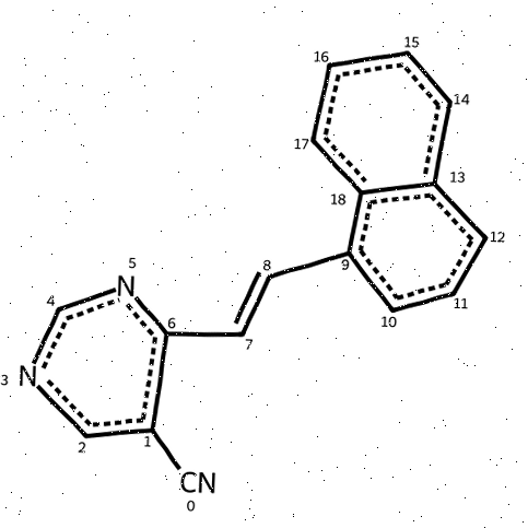 N#Cc1cncnc1/C=C/c1cccc2ccccc12